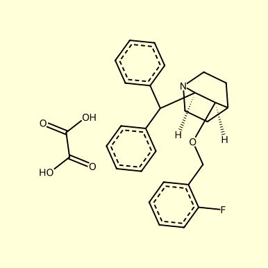 Fc1ccccc1CO[C@@H]1C2CCN(CC2)[C@@H]1C(c1ccccc1)c1ccccc1.O=C(O)C(=O)O